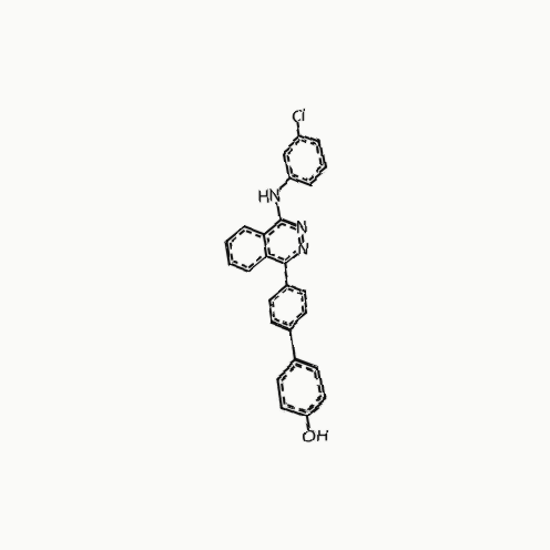 Oc1ccc(-c2ccc(-c3nnc(Nc4cccc(Cl)c4)c4ccccc34)cc2)cc1